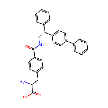 NC(Cc1ccc(C(=O)NC[C@H](c2ccccc2)c2ccc(-c3ccccc3)cc2)cc1)C(=O)O